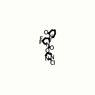 O=C(Oc1cnc(Cl)nc1)N1C[C@H](N2CCCCC2=O)CC(F)(F)C1